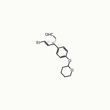 CC/C=C/[C@H](CC=O)c1ccc(OC2CCCCO2)cc1